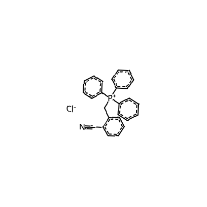 N#Cc1ccccc1C[P+](c1ccccc1)(c1ccccc1)c1ccccc1.[Cl-]